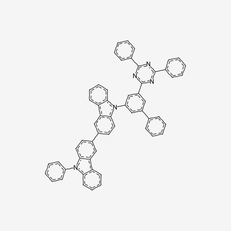 c1ccc(-c2cc(-c3nc(-c4ccccc4)nc(-c4ccccc4)n3)cc(-n3c4ccccc4c4cc(-c5ccc6c(c5)c5ccccc5n6-c5ccccc5)ccc43)c2)cc1